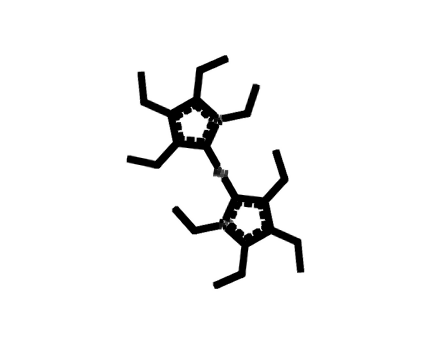 CCc1c(CC)[c]([Ru][c]2c(CC)c(CC)c(CC)n2CC)n(CC)c1CC